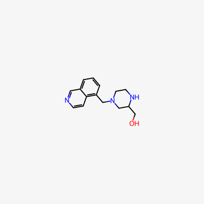 OCC1CN(Cc2cccc3cnccc23)CCN1